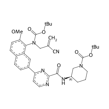 C=C(C#N)CN(C(=O)OC(C)(C)C)c1c(OC)ccc2ccc(-c3ccnc(C(=O)N[C@@H]4CCCN(C(=O)OC(C)(C)C)C4)n3)cc12